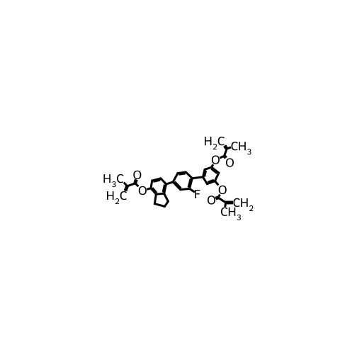 C=C(C)C(=O)Oc1cc(OC(=O)C(=C)C)cc(-c2ccc(-c3ccc(OC(=O)C(=C)C)c4c3CCC4)cc2F)c1